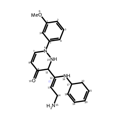 COc1cccc(N2C=CC(=O)C(/C(=C/CN)NC3C=CC=CC3)N2)c1